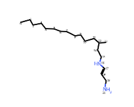 CCCCCCCCCCCCC(C)CCNC=CCN